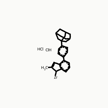 CC1=Cc2c(-c3ccc(C45CC6CC(CC(C6)C4)C5)cc3)cccc2[CH]1[Zr].Cl.Cl